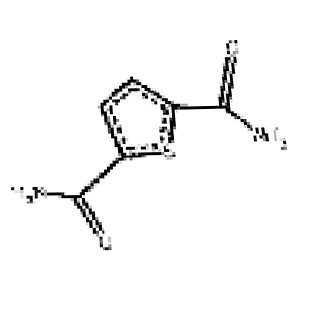 NC(=O)c1ccc(C(N)=O)s1